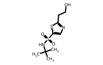 CC(C)(C)NS(=O)(=O)c1cnc(CCO)s1